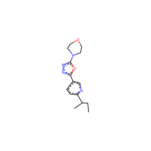 CCC(C)c1ccc(-c2nnc(N3CCOCC3)o2)cn1